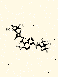 CCOc1ccc2c(NCCC(O)(P(=O)(O)O)P(=O)(O)O)cccc2c1C(=O)NC1C(=O)N2C1SC(C)(C)C2C(=O)O